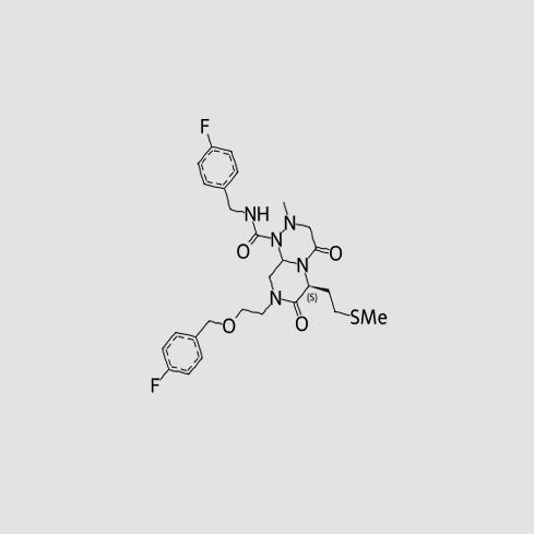 CSCC[C@H]1C(=O)N(CCOCc2ccc(F)cc2)CC2N1C(=O)CN(C)N2C(=O)NCc1ccc(F)cc1